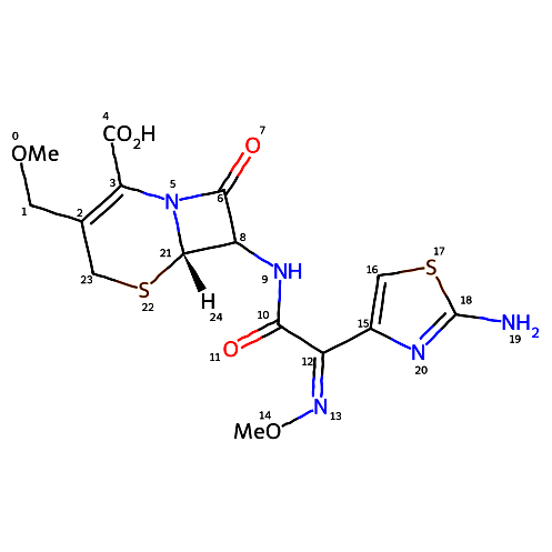 COCC1=C(C(=O)O)N2C(=O)C(NC(=O)/C(=N\OC)c3csc(N)n3)[C@@H]2SC1